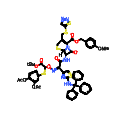 COc1ccc(COC(=O)C2=C(CSc3cnns3)CS[C@H]3[C@H](NC(=O)/C(=N\O[C@H](Sc4ccc(OC(C)=O)c(OC(C)=O)c4)C(=O)OC(C)(C)C)c4csc(NC(c5ccccc5)(c5ccccc5)c5ccccc5)n4)C(=O)N23)cc1